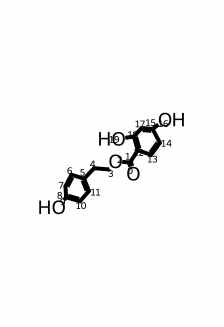 O=C(OCCc1ccc(O)cc1)c1ccc(O)cc1O